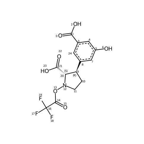 O=C(O)c1cc(O)cc([C@H]2CCN(OC(=O)C(F)(F)F)[C@@H]2C(=O)O)c1